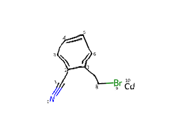 N#Cc1ccccc1CBr.[Cd]